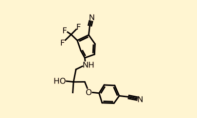 CC(O)(CNc1ccc(C#N)c(C(F)(F)F)c1)COc1ccc(C#N)cc1